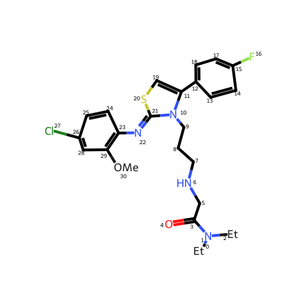 CCN(CC)C(=O)CNCCCn1c(-c2ccc(F)cc2)cs/c1=N\c1ccc(Cl)cc1OC